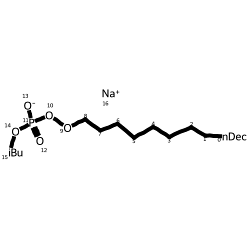 CCCCCCCCCCCCCCCCCCOOP(=O)([O-])OC(C)CC.[Na+]